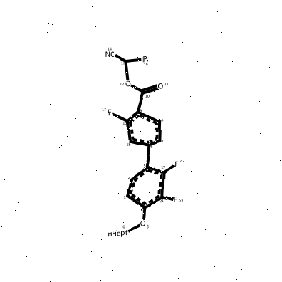 CCCCCCCOc1ccc(-c2ccc(C(=O)OC(C#N)C(C)C)c(F)c2)c(F)c1F